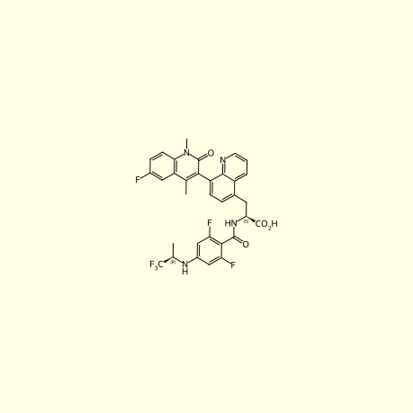 Cc1c(-c2ccc(C[C@H](NC(=O)c3c(F)cc(N[C@H](C)C(F)(F)F)cc3F)C(=O)O)c3cccnc23)c(=O)n(C)c2ccc(F)cc12